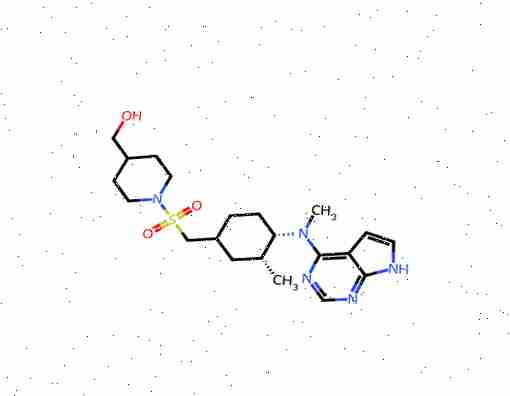 C[C@@H]1CC(CS(=O)(=O)N2CCC(CO)CC2)CC[C@@H]1N(C)c1ncnc2[nH]ccc12